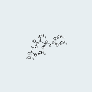 COC(COC(=O)C(C)C(=O)OCC(OC)OC)OC